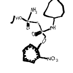 CC.NP(=O)(O)SP(=O)(NC1CCCCC1)Oc1ccccc1[N+](=O)[O-]